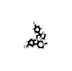 CN1CCc2c(n(CC3(c4ccc(F)cc4)OCCO3)c3ccc(Cl)cc23)C1